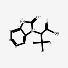 CC(C)(C)C(C(=O)O)n1c(=O)[nH]c2ccccc21